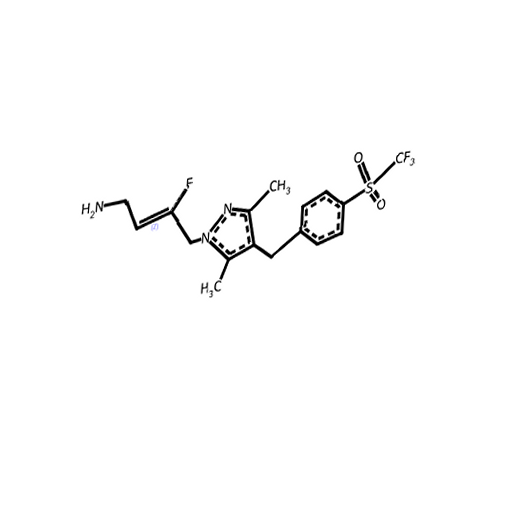 Cc1nn(C/C(F)=C/CN)c(C)c1Cc1ccc(S(=O)(=O)C(F)(F)F)cc1